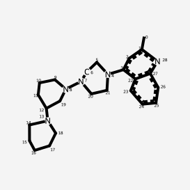 Cc1cc(N2CCN(N3CCCC(N4C[CH]CCC4)C3)CC2)c2ccccc2n1